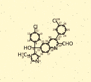 Cn1cncc1C(O)(c1ccc(Cl)cc1)c1ccc2nc(C=O)c(-c3cccc(Cl)c3)cc2c1